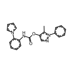 Cc1c(OC(=O)Nc2ccccc2-n2cccc2)cnn1-c1ccccc1